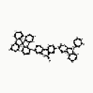 O=c1oc2cc(-c3cccc4c3-c3ccccc3C43c4ccccc4-c4ccccc43)ccc2c2ccc(-c3ccc4c(c3)c3ccccc3n4-c3ccccc3)cc12